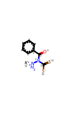 NN(C(=O)c1ccccc1)C(=S)[S-].[K+]